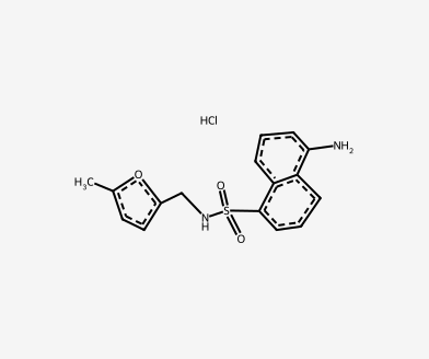 Cc1ccc(CNS(=O)(=O)c2cccc3c(N)cccc23)o1.Cl